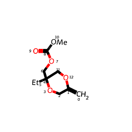 C=C1COC(CC)(COC(=O)OC)CO1